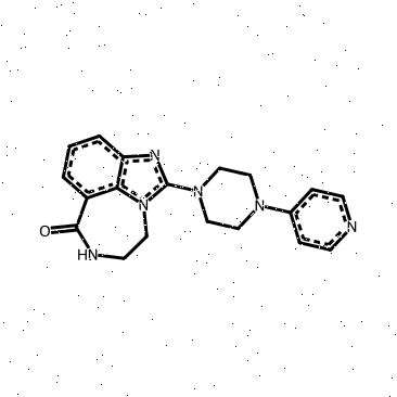 O=C1NCCn2c(N3CCN(c4ccncc4)CC3)nc3cccc1c32